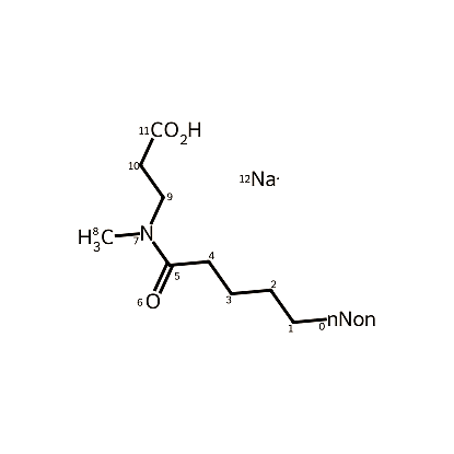 CCCCCCCCCCCCCC(=O)N(C)CCC(=O)O.[Na]